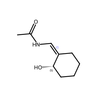 CC(=O)N/C=C1/CCCC[C@@H]1O